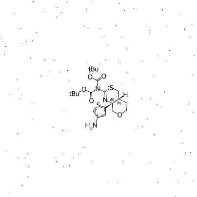 CC(C)(C)OC(=O)N(C(=O)OC(C)(C)C)C1=N[C@@]2(c3cc(N)cs3)COCC[C@H]2CS1